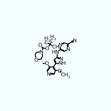 COc1cncc(OC[C@H]2CN(C(=O)OC(C)(C)C)CCO2)c1-c1cc(Nc2cnc(C#N)cn2)n[nH]1